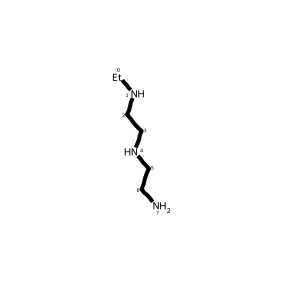 [CH2]CNCCNCCN